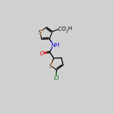 O=C(O)c1cscc1NC(=O)C1CC=C(Cl)S1